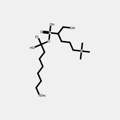 CCCCCCCCCCCCCCCCC(O)(CC)OP(=O)(O)C(CO)CCC[N+](C)(C)C